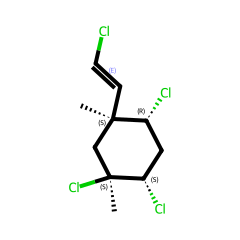 C[C@]1(Cl)C[C@@](C)(/C=C/Cl)[C@H](Cl)C[C@@H]1Cl